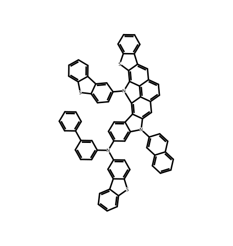 c1ccc(-c2cccc(N(c3ccc4sc5ccccc5c4c3)c3ccc4c5c(cc6ccc7cc8c9ccccc9sc8c8c7c6c5n8-c5ccc6sc7ccccc7c6c5)n(-c5ccc6ccccc6c5)c4c3)c2)cc1